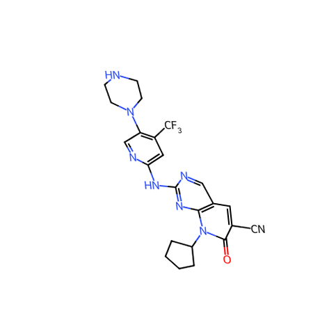 N#Cc1cc2cnc(Nc3cc(C(F)(F)F)c(N4CCNCC4)cn3)nc2n(C2CCCC2)c1=O